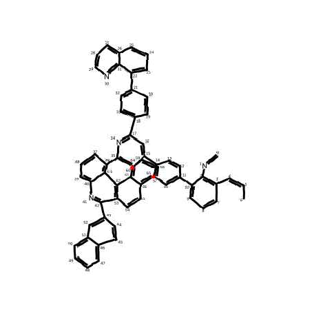 C=Nc1c(/C=C\C)cccc1-c1ccc(-c2cc(-c3ccc(-c4cccc5cccnc45)cc3)nc(-c3cccc4nc(-c5ccc6ccccc6c5)c5ccc6ccccc6c5c34)n2)cc1